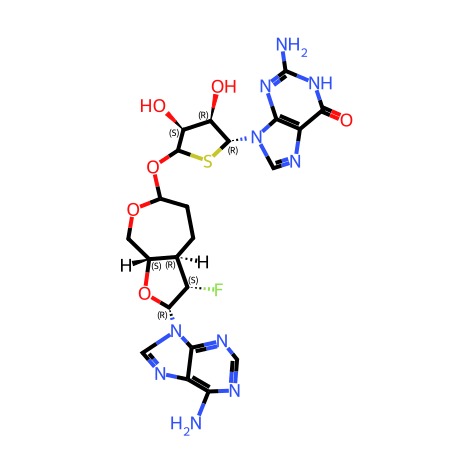 Nc1nc2c(ncn2[C@@H]2SC(OC3CC[C@H]4[C@H](F)[C@H](n5cnc6c(N)ncnc65)O[C@@H]4CO3)[C@@H](O)[C@H]2O)c(=O)[nH]1